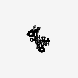 COC(=O)[C@@H](Nc1nc(CNC(=O)Nc2ccccc2C(F)(F)F)nc2ccccc12)C(C)C